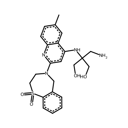 Cc1ccc2nc(N3CCS(=O)(=O)c4ccccc4C3)cc(NC(CN)(CO)CO)c2c1